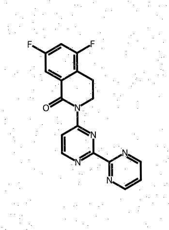 O=C1c2cc(F)cc(F)c2CCN1c1ccnc(-c2ncccn2)n1